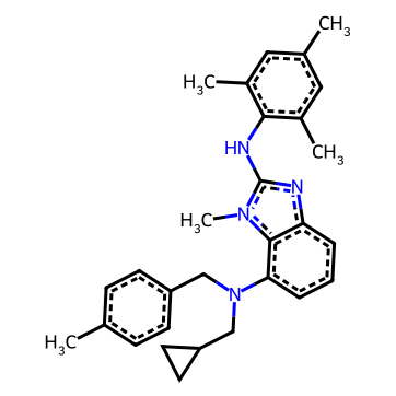 Cc1ccc(CN(CC2CC2)c2cccc3nc(Nc4c(C)cc(C)cc4C)n(C)c23)cc1